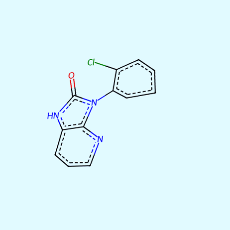 O=c1[nH]c2cccnc2n1-c1ccccc1Cl